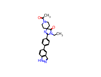 CCN1C(=O)C2(CCN(C(C)=O)CC2)N=C1c1ccc(-c2ccc3[nH]ncc3c2)cc1